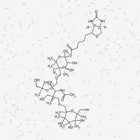 CC(=O)NC([C@@](C)(CO)COCC1(C)OC(C)(CO)C(C)(O)C(C)(O)C1(C)O)[C@@](C)(COCC1(C)C(C)(C)OC(C)(OC(=O)CCCCC2SC[C@@H]3NC(=O)N[C@H]23)C(O)[C@@]1(C)O)OC(C)(C)CO